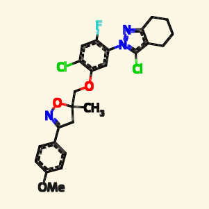 COc1ccc(C2=NOC(C)(COc3cc(-n4nc5c(c4Cl)CCCC5)c(F)cc3Cl)C2)cc1